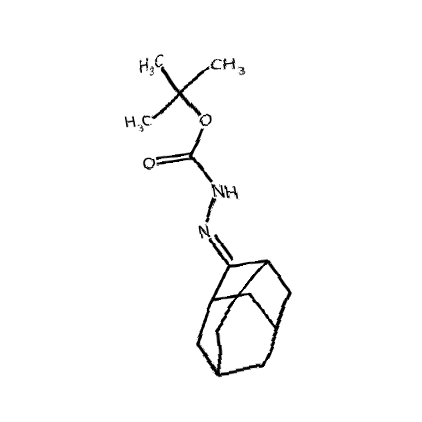 CC(C)(C)OC(=O)NN=C1C2CC3CC(C2)CC1C3